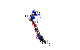 C=N/C=C(\C=N/CC/N=C\C(=C/N=C)C(=O)NCCOCCOCCOCCOCCC(=O)N1CCc2cc(CC)ccc2C1)CN